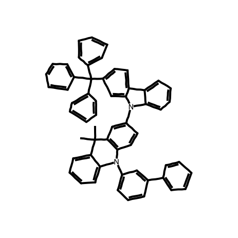 CC1(C)c2ccccc2N(c2cccc(-c3ccccc3)c2)c2ccc(-n3c4ccccc4c4ccc(C(c5ccccc5)(c5ccccc5)c5ccccc5)cc43)cc21